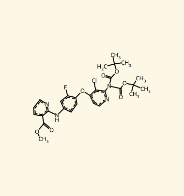 COC(=O)c1cccnc1Nc1ccc(Oc2ccnc(N(C(=O)OC(C)(C)C)C(=O)OC(C)(C)C)c2Cl)c(F)c1